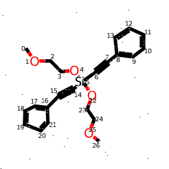 COCCO[Si](C#Cc1ccccc1)(C#Cc1ccccc1)OCCOC